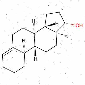 C[C@]12CC[C@H]3[C@@H](CCC4=CCCC[C@@H]43)[C@@H]1CC[C@@H]2O